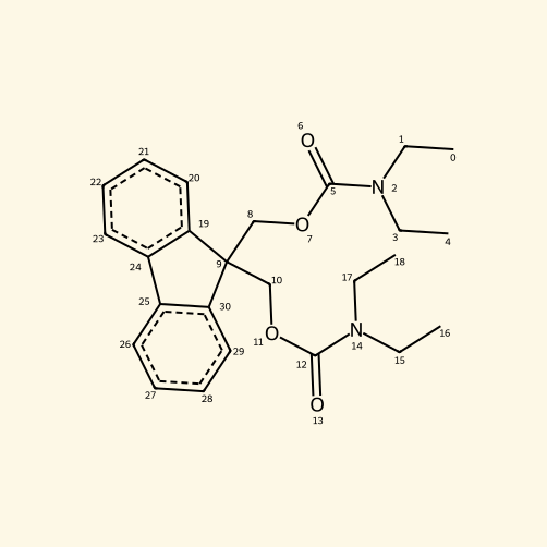 CCN(CC)C(=O)OCC1(COC(=O)N(CC)CC)c2ccccc2-c2ccccc21